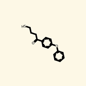 O=C(CCCS)c1ccc(Oc2ccccc2)cc1